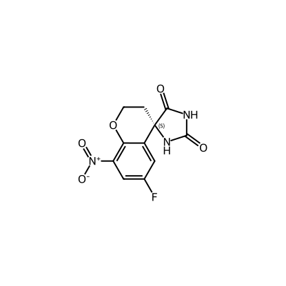 O=C1NC(=O)[C@@]2(CCOc3c([N+](=O)[O-])cc(F)cc32)N1